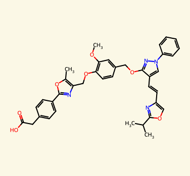 COc1cc(COc2nn(-c3ccccc3)cc2C=Cc2coc(C(C)C)n2)ccc1OCc1nc(-c2ccc(CC(=O)O)cc2)oc1C